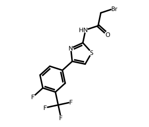 O=C(CBr)Nc1nc(-c2ccc(F)c(C(F)(F)F)c2)cs1